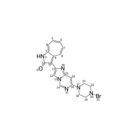 O=c1[nH]c2cccccc-2c1-c1cn2cnc(N3CCN(Br)CC3)cc2n1